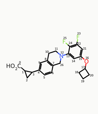 O=C(O)C1CC1c1ccc2c(c1)CCN(c1cc(OC3CCC3)cc(F)c1F)C2